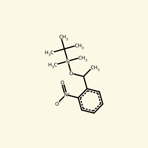 CC(O[Si](C)(C)C(C)(C)C)c1ccccc1[N+](=O)[O-]